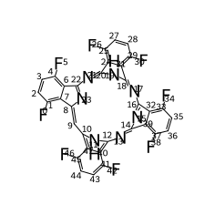 Fc1ccc(F)c2c1-c1cc3[nH]c(nc4nc(nc5[nH]c(nc-2n1)c1c(F)ccc(F)c51)-c1c(F)ccc(F)c1-4)c1c(F)ccc(F)c31